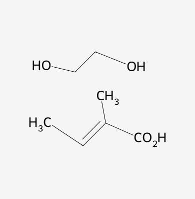 CC=C(C)C(=O)O.OCCO